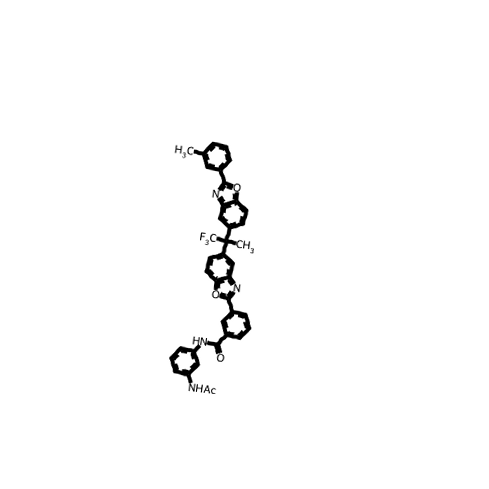 CC(=O)Nc1cccc(NC(=O)c2cccc(-c3nc4cc(C(C)(c5ccc6oc(-c7cccc(C)c7)nc6c5)C(F)(F)F)ccc4o3)c2)c1